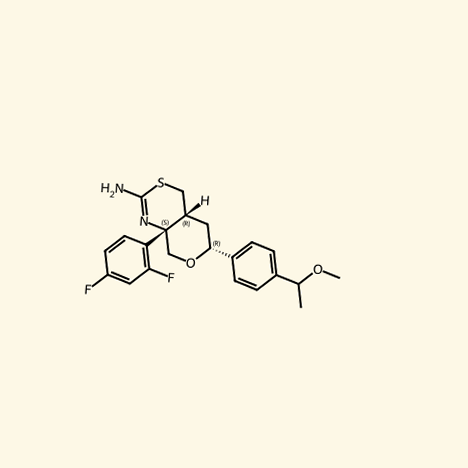 COC(C)c1ccc([C@H]2C[C@H]3CSC(N)=N[C@@]3(c3ccc(F)cc3F)CO2)cc1